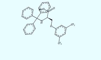 COC(=O)[C@@H](COc1cc(C(F)(F)F)cc(C(F)(F)F)c1)NC(c1ccccc1)(c1ccccc1)c1ccccc1